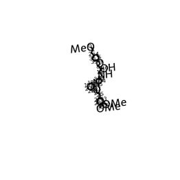 COCCc1ccc(OCC(O)CN[C@@H]2CCN([C@H]3CCCC[C@@H]3OCCc3ccc(OC)c(OC)c3)C2)cc1